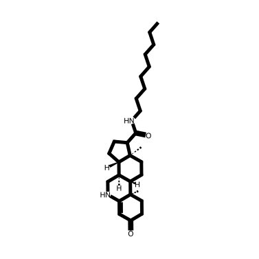 CCCCCCCCCNC(=O)C1CC[C@H]2[C@@H]3CNC4=CC(=O)CC[C@]4(C)[C@@H]3CC[C@]12C